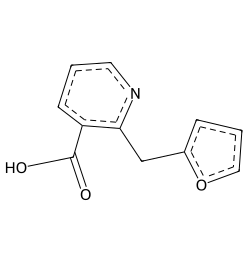 O=C(O)c1cccnc1Cc1ccco1